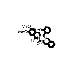 CCC1c2cc(OC)c(OC)cc2CCN1C(=O)[C@@H]1Cc2ccccc2CN1Cc1ccccc1OC